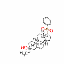 CC[C@]1(O)CC[C@H]2C(=CC[C@H]3[C@@H]4CCC(S(=O)(=O)c5ccccc5)[C@H]4CC[C@@H]32)C1